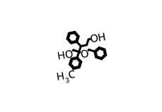 Cc1ccc(C(CO)(OCc2ccccc2)C(CCO)c2ccccc2)cc1